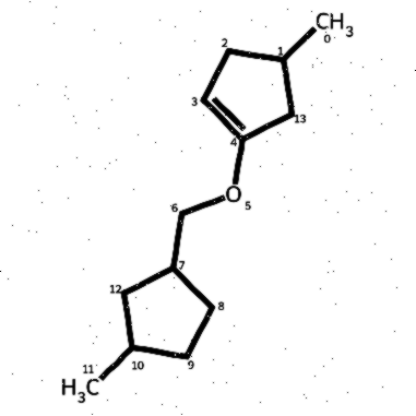 CC1CC=C(OCC2CCC(C)C2)C1